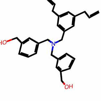 C=CCc1cc(CC=C)cc(CN(Cc2cccc(CO)c2)Cc2cccc(CO)c2)c1